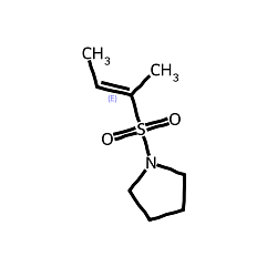 C/C=C(\C)S(=O)(=O)N1CCCC1